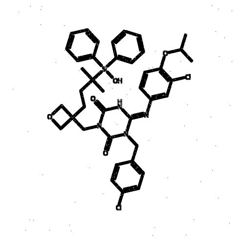 CC(C)Oc1ccc(/N=c2\[nH]c(=O)n(CC3(CCC(C)(C)[Si](O)(c4ccccc4)c4ccccc4)COC3)c(=O)n2Cc2ccc(Cl)cc2)cc1Cl